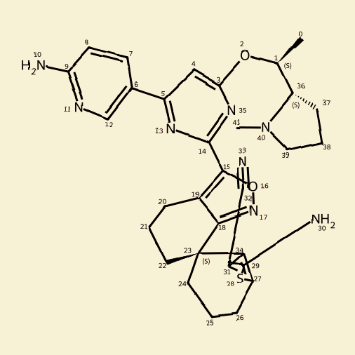 C[C@H](Oc1cc(-c2ccc(N)nc2)nc(-c2onc3c2CCC[C@@]32CCCc3sc(N)c(C#N)c32)n1)[C@@H]1CCCN1C